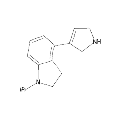 CC(C)N1CCc2c(C3=CCNC3)cccc21